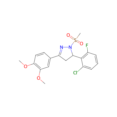 COc1ccc(C2=NN(S(C)(=O)=O)C(c3c(F)cccc3Cl)C2)cc1OC